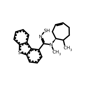 CC1CCC=CC[C@@H]1N(C)/C(=N\S)c1cccc2sc3ccccc3c12